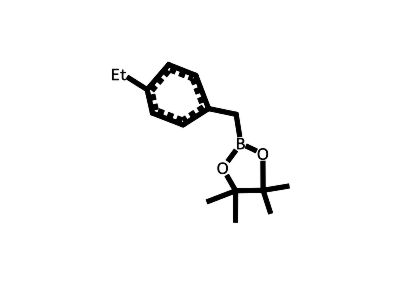 CCc1ccc(CB2OC(C)(C)C(C)(C)O2)cc1